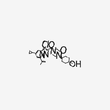 C=C(C)c1cc(C2CC2)cc2c(Cl)c(C(=O)N3CCN([C@H]4CC[C@H](O)CC4)C(=O)C3)nn12